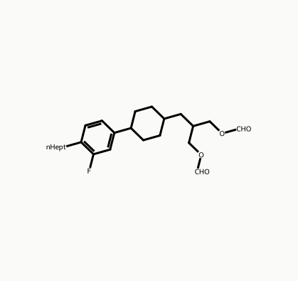 CCCCCCCc1ccc(C2CCC(CC(COC=O)COC=O)CC2)cc1F